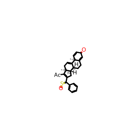 CC(=O)C1=C(C(=S=O)c2ccccc2)C[C@H]2[C@@H]3CCC4=CC(=O)C=C[C@]4(C)C3=CC[C@]12C